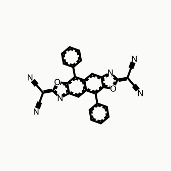 N#CC(C#N)=c1nc2cc3c(-c4ccccc4)c4oc(=C(C#N)C#N)nc4cc3c(-c3ccccc3)c2o1